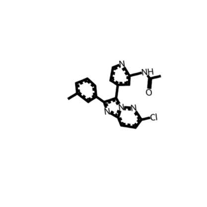 CC(=O)Nc1cc(-c2c(-c3cccc(C)c3)nc3ccc(Cl)nn23)ccn1